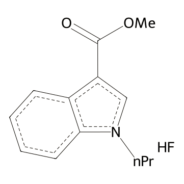 CCCn1cc(C(=O)OC)c2ccccc21.F